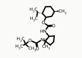 CC(C)[C@@H]1CC[C@@H](C)CC1OC(=O)NC1CCCC1(C)NC(=O)OC(C)(C)C